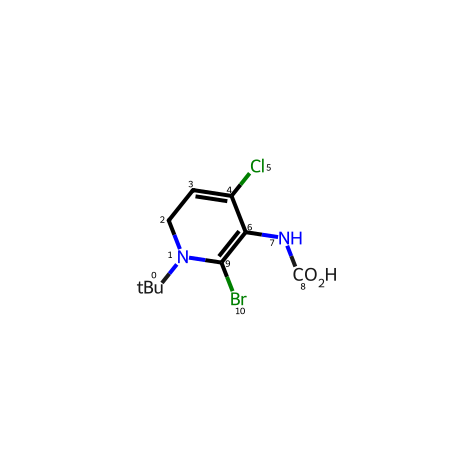 CC(C)(C)N1CC=C(Cl)C(NC(=O)O)=C1Br